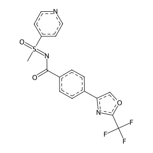 CS(=O)(=NC(=O)c1ccc(-c2coc(C(F)(F)F)n2)cc1)c1ccncc1